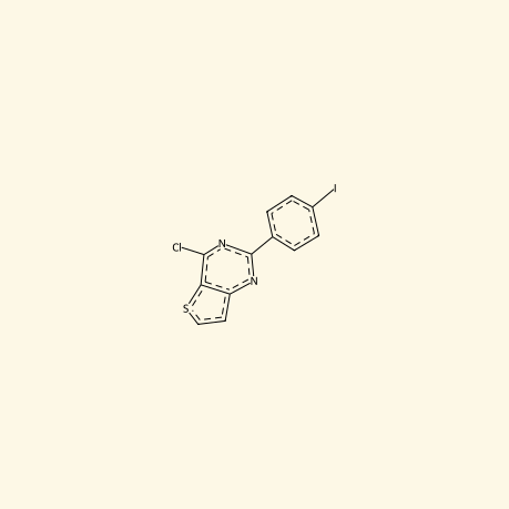 Clc1nc(-c2ccc(I)cc2)nc2ccsc12